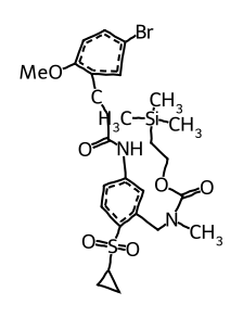 COc1ccc(Br)cc1CCC(=O)Nc1ccc(S(=O)(=O)C2CC2)c(CN(C)C(=O)OCC[Si](C)(C)C)c1